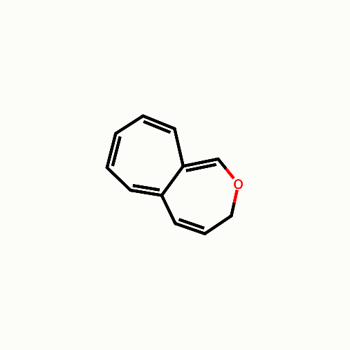 C1=CC=C2C=CCOC=C2C=C1